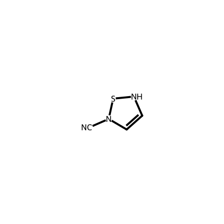 N#CN1C=CNS1